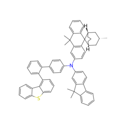 C[C@@H]1C[C@H]2CCC[C@@H](C1)C21c2ccccc2C(C)(C)c2cc(N(c3ccc(-c4ccccc4-c4cccc5sc6ccccc6c45)cc3)c3ccc4c(c3)C(C)(C)c3ccccc3-4)ccc21